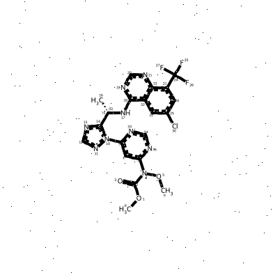 COC(=O)N(OC)c1cc(-n2ncnc2[C@H](C)Nc2ncnc3c(C(F)(F)F)cc(Cl)cc23)ncn1